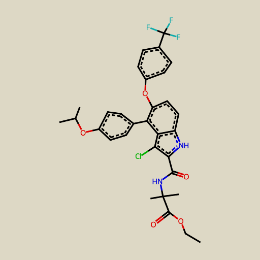 CCOC(=O)C(C)(C)NC(=O)c1[nH]c2ccc(Oc3ccc(C(F)(F)F)cc3)c(-c3ccc(OC(C)C)cc3)c2c1Cl